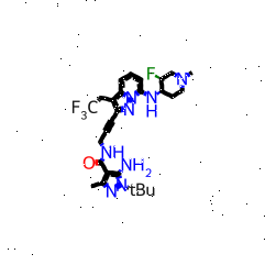 Cc1nn(C(C)(C)C)c(N)c1C(=O)NCC#Cc1nn2c(N[C@@H]3CCN(C)C[C@@H]3F)cccc2c1CC(F)(F)F